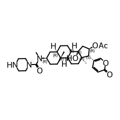 CC(=O)O[C@@H]1C[C@@]2(O)[C@@H]3CC[C@@H]4C[C@H](N(C)C(=O)N5CCNCC5)CC[C@@]4(C)[C@@H]3CC[C@]2(C)[C@H]1c1ccc(=O)oc1